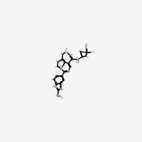 Nc1nc2cc(C3=NC=C4C(NC5CC(F)(F)C5)=COCC5=C4N3CC5)ccc2o1